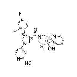 C[C@@H]1CN(C(=O)[C@@H]2CN(c3ccncn3)C[C@H]2c2ccc(F)cc2F)C[C@H](C)[C@]1(O)c1ccccn1.Cl